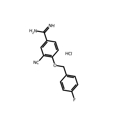 Cl.N#Cc1cc(C(=N)N)ccc1OCc1ccc(F)cc1